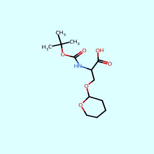 CC(C)(C)OC(=O)NC(COC1CCCCO1)C(=O)O